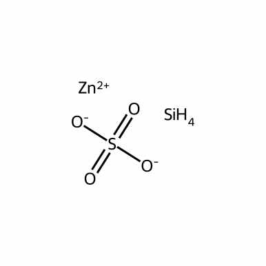 O=S(=O)([O-])[O-].[SiH4].[Zn+2]